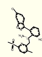 Cc1ccc(S(C)(=O)=O)nc1C[C@H](N)c1ccccc1-c1noc2cc(Cl)ccc12.Cl